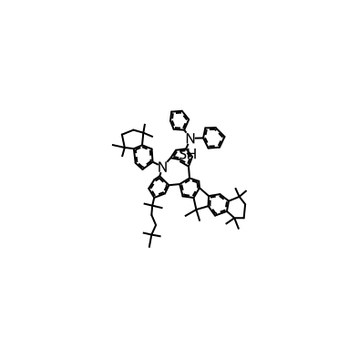 CC(C)(C)CCC(C)(C)c1ccc2c(c1)-c1cc3c(cc1-c1cc(N(c4ccccc4)c4ccccc4)cc(c1S)N2c1ccc2c(c1)C(C)(C)CCC2(C)C)-c1cc2c(cc1C3(C)C)C(C)(C)CCC2(C)C